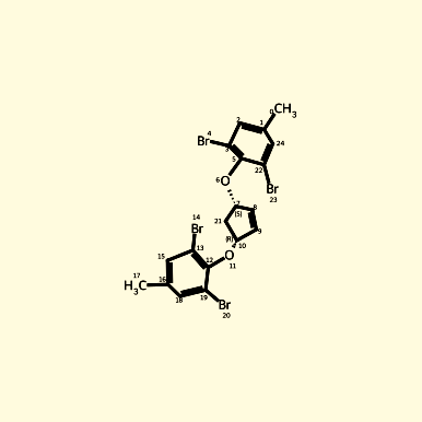 Cc1cc(Br)c(O[C@@H]2C=C[C@H](Oc3c(Br)cc(C)cc3Br)C2)c(Br)c1